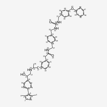 Cc1ccc(C)n1-c1ccc(C(O)CNC(C)Cc2cccc(CC(=O)NCc3ccc(CNC(=O)NCc4ccc(Oc5ccccc5)cc4)cc3)c2)cn1